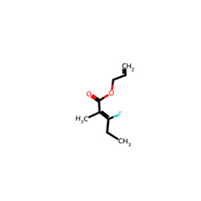 C=CCOC(=O)C(C)=C(F)CC